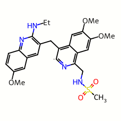 CCNc1nc2ccc(OC)cc2cc1Cc1[c]nc(CNS(C)(=O)=O)c2cc(OC)c(OC)cc12